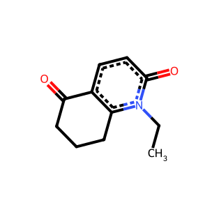 CCn1c2c(ccc1=O)C(=O)CCC2